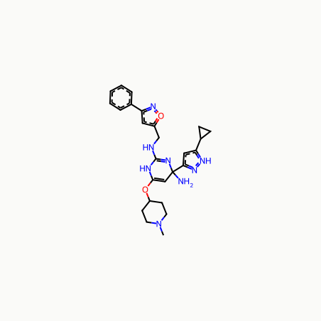 CN1CCC(OC2=CC(N)(c3cc(C4CC4)[nH]n3)N=C(NCc3cc(-c4ccccc4)no3)N2)CC1